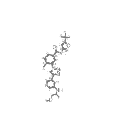 COCC(C)Nc1cncc(-c2cn(-c3cc(C(=O)Nc4cc(C(C)(C)C)on4)ccc3C)nn2)c1